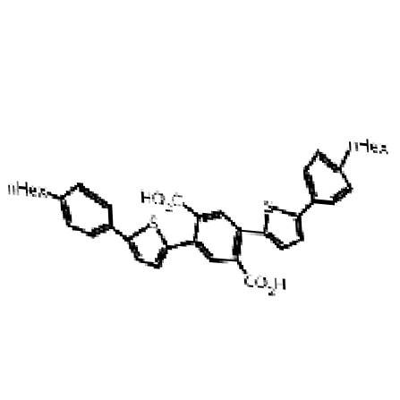 CCCCCCc1ccc(-c2ccc(-c3cc(C(=O)O)c(-c4ccc(-c5ccc(CCCCCC)cc5)s4)cc3C(=O)O)s2)cc1